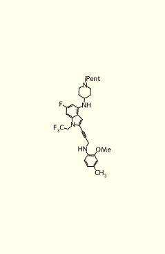 CCCC(C)N1CCC(Nc2cc(F)cc3c2cc(C#CCNc2ccc(C)cc2OC)n3CC(F)(F)F)CC1